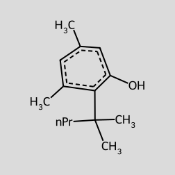 CCCC(C)(C)c1c(C)cc(C)cc1O